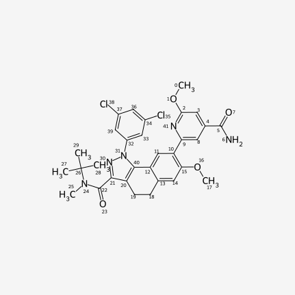 COc1cc(C(N)=O)cc(-c2cc3c(cc2OC)CCc2c(C(=O)N(C)C(C)(C)C)nn(-c4cc(Cl)cc(Cl)c4)c2-3)n1